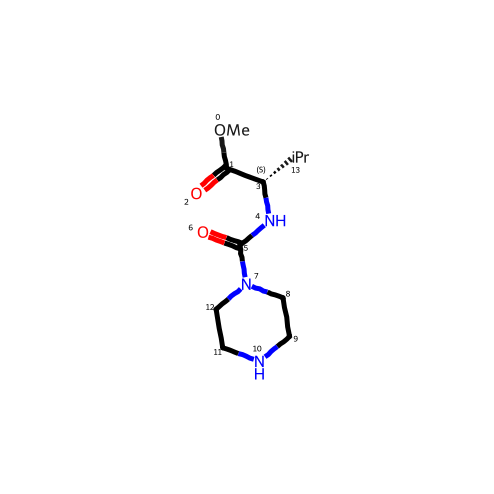 COC(=O)[C@@H](NC(=O)N1CCNCC1)C(C)C